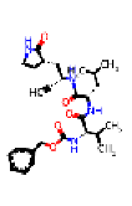 C#C[C@H](C[C@@H]1CCNC1=O)NC(=O)[C@H](CC(C)C)NC(=O)[C@@H](NC(=O)OCc1ccccc1)C(C)C